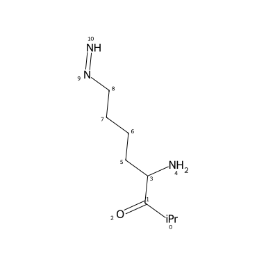 CC(C)C(=O)C(N)CCCCN=N